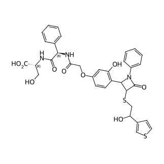 O=C(COc1ccc(C2C(SCC(O)c3ccsc3)C(=O)N2c2ccccc2)c(O)c1)N[C@@H](C(=O)N[C@H](CO)C(=O)O)c1ccccc1